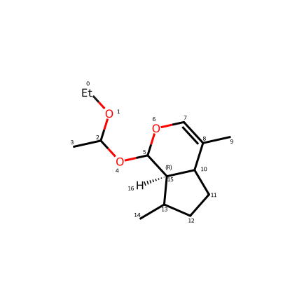 CCOC(C)OC1OC=C(C)C2CCC(C)[C@@H]12